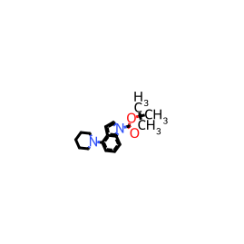 CC(C)(C)OC(=O)n1ccc2c(N3CCCCC3)cccc21